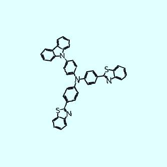 c1ccc2sc(-c3ccc(N(c4ccc(-c5nc6ccccc6s5)cc4)c4ccc(-n5c6ccccc6c6ccccc65)cc4)cc3)nc2c1